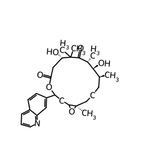 C[C@H]1CCC[C@@]2(C)OC2CC(c2ccc3cccnc3c2)OC(=O)C[C@H](O)C(C)(C)C(=O)[C@H](C)[C@H]1O